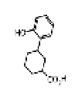 O=C(O)C1CCCC(c2ccccc2O)C1